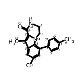 Cc1ccc(-c2cc(Cl)cc3c(C)c4n(c23)CCNC4=O)cc1